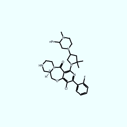 CCCC1CN(C2CN(c3nc(-c4ccccc4F)c(Cl)c4c3C(=O)N3CCNC[C@@H]3CO4)C(C)(C)C2)CCN1C